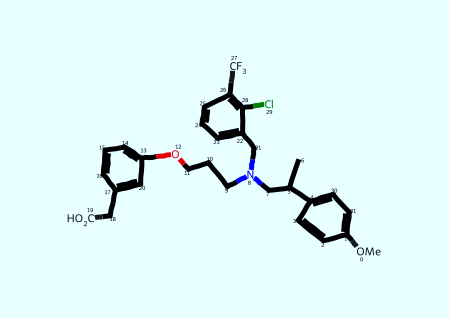 COc1ccc(C(C)CN(CCCOc2cccc(CC(=O)O)c2)Cc2cccc(C(F)(F)F)c2Cl)cc1